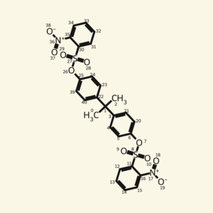 CC(C)(c1ccc(OS(=O)(=O)c2ccccc2[N+](=O)[O-])cc1)c1ccc(OS(=O)(=O)c2ccccc2[N+](=O)[O-])cc1